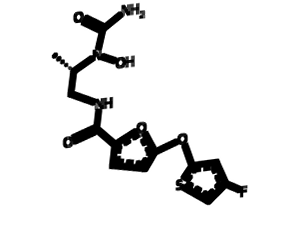 C[C@@H](CNC(=O)c1ccc(Oc2cc(F)cs2)o1)N(O)C(N)=O